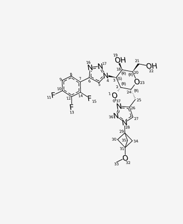 CO[C@@H]1[C@@H](n2cc(-c3ccc(F)c(F)c3F)nn2)[C@@H](O)[C@@H](CO)O[C@@H]1Cc1cn(C23CC(OC)(C2)C3)nn1